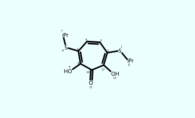 CC(C)Sc1ccc(SC(C)C)c(O)c(=O)c1O